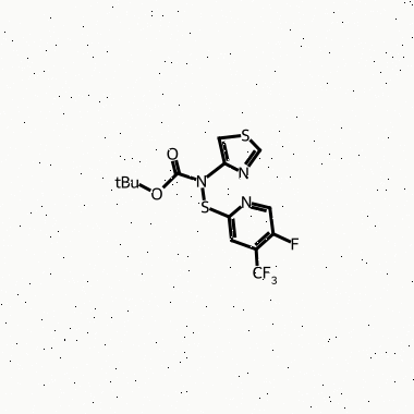 CC(C)(C)OC(=O)N(Sc1cc(C(F)(F)F)c(F)cn1)c1cscn1